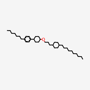 CCCCCCCCCCC1CCC(CCCOC2CCC(c3ccc(CCCCCCC)cc3)CC2)CC1